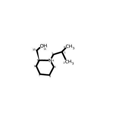 C[C](C)CN1CCCC[C@H]1CO